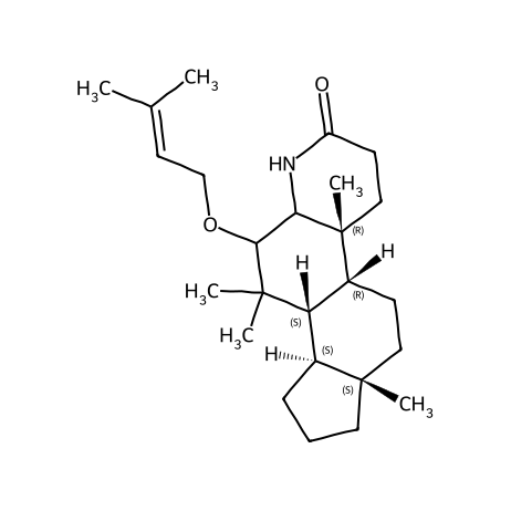 CC(C)=CCOC1C2NC(=O)CC[C@]2(C)[C@@H]2CC[C@]3(C)CCC[C@H]3[C@@H]2C1(C)C